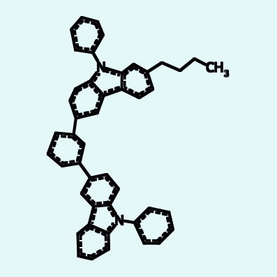 CCCCc1ccc2c3cc(-c4cccc(-c5ccc6c(c5)c5ccccc5n6-c5ccccc5)c4)ccc3n(-c3ccccc3)c2c1